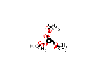 C=C(C)C(=O)OCCc1cc(OCOC(=O)C(=C)C)cc(C(=O)OCOC(=O)C(=C)C)c1